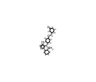 Nc1ncccc1-c1nn[nH]c1Cc1ccc(OCc2cccc(F)c2)cc1